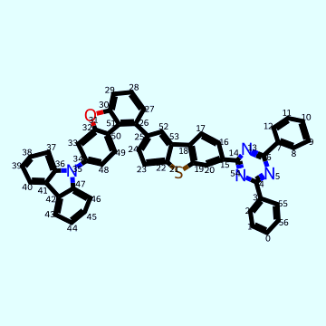 c1ccc(-c2nc(-c3ccccc3)nc(-c3ccc4c(c3)sc3ccc(-c5cccc6oc7cc(-n8c9ccccc9c9ccccc98)ccc7c56)cc34)n2)cc1